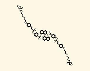 CCC1(COCCCCCCOc2ccc(C=CC(=O)Oc3ccc(C(=O)Oc4ccc5ccccc5c4-c4c(OC(=O)c5ccc(OC(=O)C=Cc6ccc(OCCCCCCOCC7(CC)COC7)cc6)cc5)ccc5ccccc45)cc3)cc2)COC1